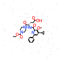 CCOC(=O)N1CCN(C(=O)[C@H](CCC(=O)O)NC(=O)c2nc(-c3ccccc3)cc(C3CC3)c2OC)CC1